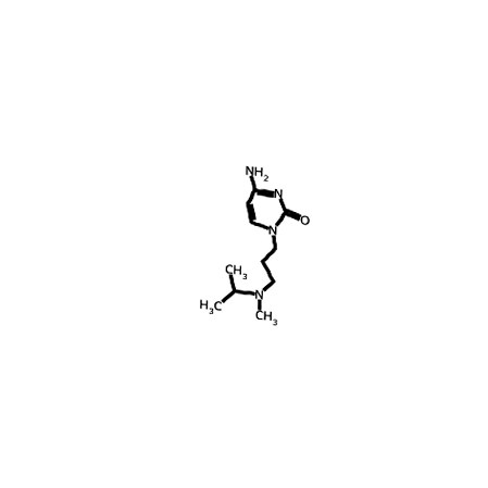 CC(C)N(C)CCCn1ccc(N)nc1=O